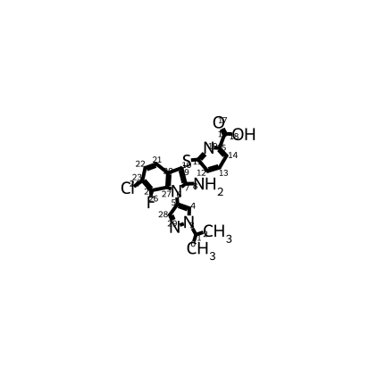 CC(C)n1cc(-n2c(N)c(Sc3cccc(C(=O)O)n3)c3ccc(Cl)c(F)c32)cn1